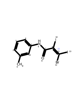 Cc1cccc(NC(=O)/C(I)=C(\Br)I)c1